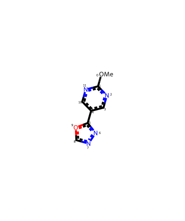 COc1ncc(-c2nnco2)cn1